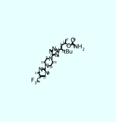 CC(CC(n1nnc(N2CCN(c3ncc(C(F)(F)F)cn3)CC2)n1)C(C)(C)C)OC(N)=O